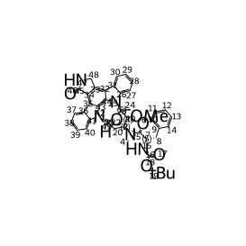 CO[C@@H]1[C@H](N(C)C(=O)[C@H](Cc2ccccc2)NC(=O)OC(C)(C)C)C[C@H]2O[C@]1(C)n1c3ccccc3c3c4c(c5c6ccccc6n2c5c31)C(=O)NC4